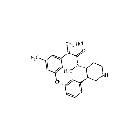 CN(C(=O)N(C)[C@@H]1CCNC[C@H]1c1ccccc1)c1cc(C(F)(F)F)cc(C(F)(F)F)c1.Cl